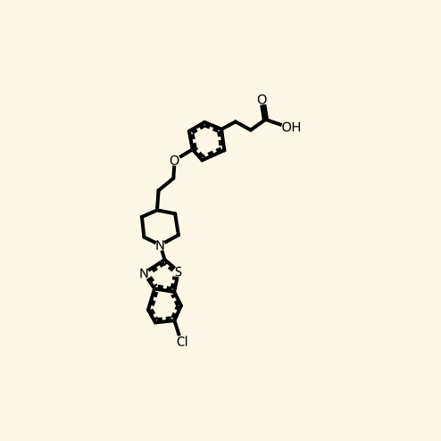 O=C(O)CCc1ccc(OCCC2CCN(c3nc4ccc(Cl)cc4s3)CC2)cc1